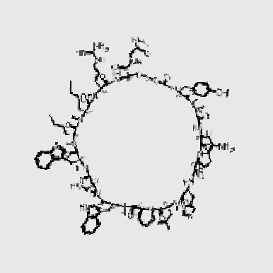 CCCC[C@H]1C(=O)N(C)[C@@H](CCCC)C(=O)N[C@@H](CCCNC(=N)N)C(=O)N[C@H](C(=O)NCC(N)=O)CSCC(=O)N[C@@H](Cc2ccc(O)cc2)C(=O)N(C)[C@@H](C)C(=O)N[C@H]2CC(N)=C3CC[C@@H](C(=O)N[C@@H](Cc4cnc[nH]4)C(=O)N[C@@H](CC(C)C)C(=O)N4CCC[C@H]4C(=O)N[C@@H](Cc4c[nH]c5ccccc45)C(=O)N[C@@H](CO)C(=O)N[C@@H](Cc4csc5ccccc45)C(=O)N1C)N3C2=O